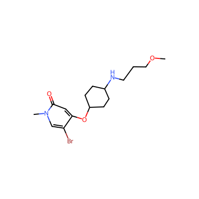 COCCCNC1CCC(Oc2cc(=O)n(C)cc2Br)CC1